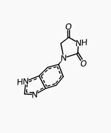 O=C1CN(c2ccc3nc[nH]c3c2)C(=O)N1